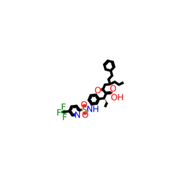 CCCC1(CCC2C=CC=CC2)CC(=O)C([C@H](CC)c2cccc(NS(=O)(=O)c3ccc(C(F)(F)F)cn3)c2)=C(O)O1